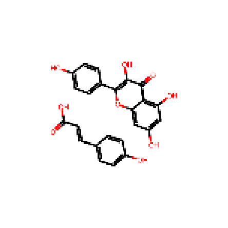 O=C(O)/C=C/c1ccc(O)cc1.O=c1c(O)c(-c2ccc(O)cc2)oc2cc(O)cc(O)c12